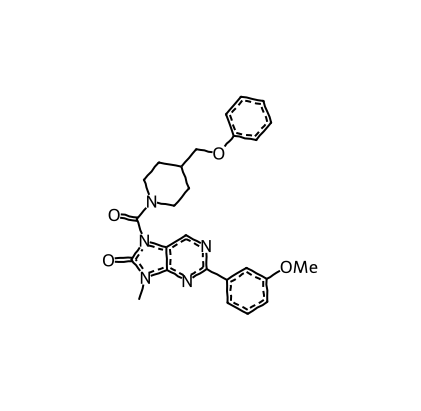 COc1cccc(-c2ncc3c(n2)n(C)c(=O)n3C(=O)N2CCC(COc3ccccc3)CC2)c1